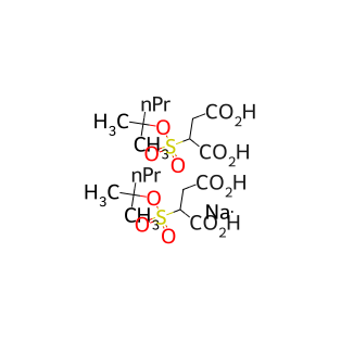 CCCC(C)(C)OS(=O)(=O)C(CC(=O)O)C(=O)O.CCCC(C)(C)OS(=O)(=O)C(CC(=O)O)C(=O)O.[Na]